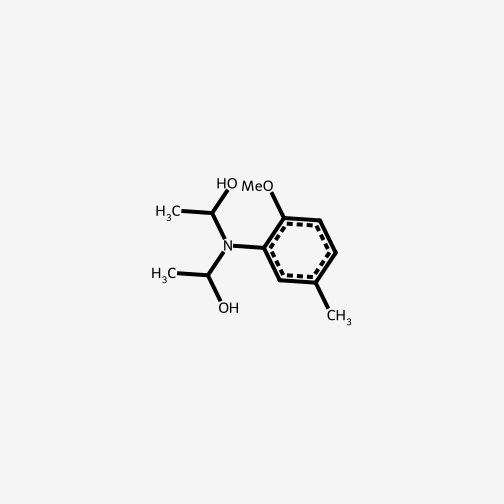 COc1ccc(C)cc1N(C(C)O)C(C)O